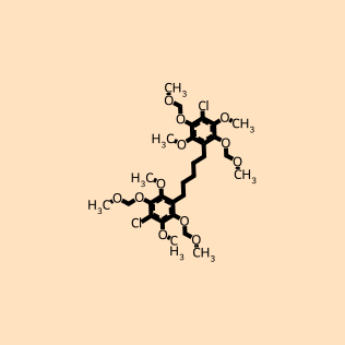 COCOc1c(Cl)c(OC)c(OCOC)c(CCCCCc2c(OC)c(OCOC)c(Cl)c(OC)c2OCOC)c1OC